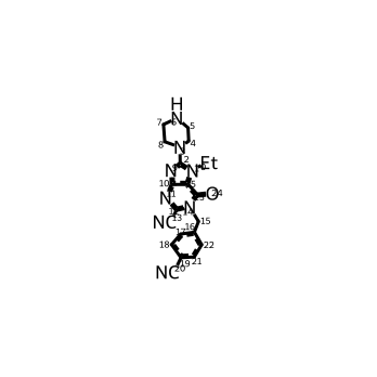 CCn1c(N2CCNCC2)nc2nc(C#N)n(Cc3ccc(C#N)cc3)c(=O)c21